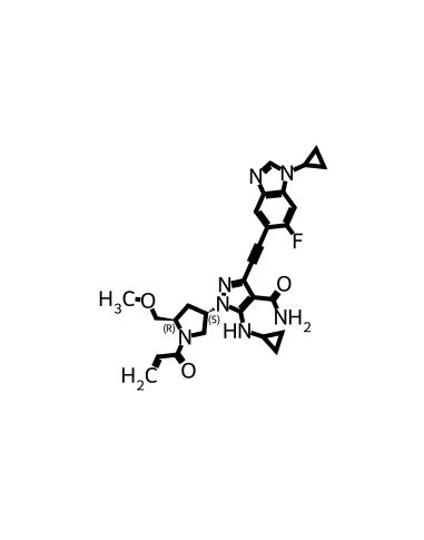 C=CC(=O)N1C[C@@H](n2nc(C#Cc3cc4ncn(C5CC5)c4cc3F)c(C(N)=O)c2NC2CC2)C[C@@H]1COC